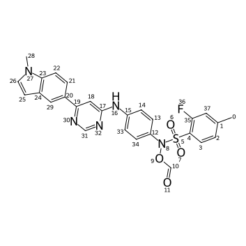 Cc1ccc(S(=O)(=O)N(OC=O)c2ccc(Nc3cc(-c4ccc5c(ccn5C)c4)ncn3)cc2)c(F)c1